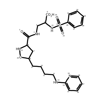 O=C(O)C(CNC(=O)C1CC(CCCCNc2ccccn2)ON1)NS(=O)(=O)c1ccccc1